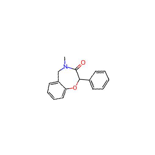 CN1Cc2ccccc2OC(c2ccccc2)C1=O